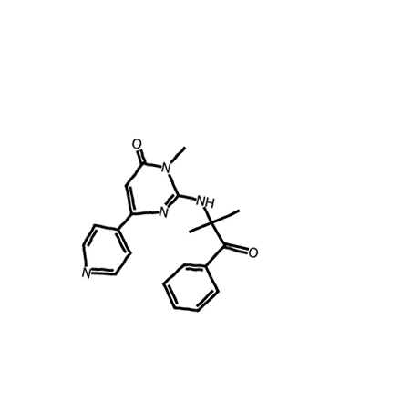 Cn1c(NC(C)(C)C(=O)c2ccccc2)nc(-c2ccncc2)cc1=O